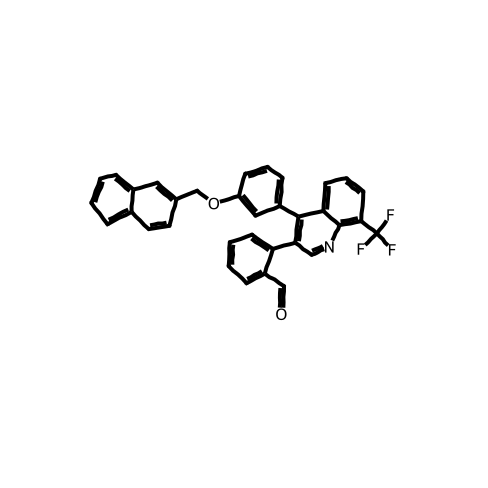 O=Cc1ccccc1-c1cnc2c(C(F)(F)F)cccc2c1-c1cccc(OCc2ccc3ccccc3c2)c1